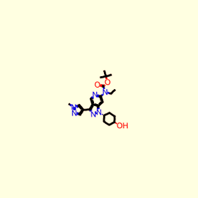 CCN(C(=O)OC(C)(C)C)c1cc2c(cn1)c(-c1cnn(C)c1)nn2[C@H]1CC[C@H](O)CC1